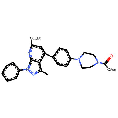 CCOC(=O)c1cc(-c2ccc(N3CCN(C(=O)OC)CC3)cc2)c2c(C)nn(-c3ccccc3)c2n1